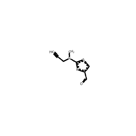 C#CCN(C)c1nc(C=O)cs1